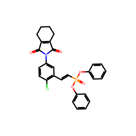 O=C1C2=C(CCCC2)C(=O)N1c1ccc(Cl)c(C=CP(=O)(Oc2ccccc2)Oc2ccccc2)c1